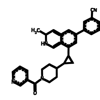 CC1C=c2cc(-c3cccc(C#N)c3)cc(C3CC3C3CCN(C(=O)c4cccnc4)CC3)c2=CN1